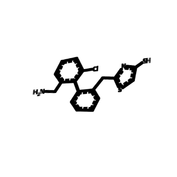 NCc1cccc(Cl)c1-c1ccccc1Cc1nc(S)cs1